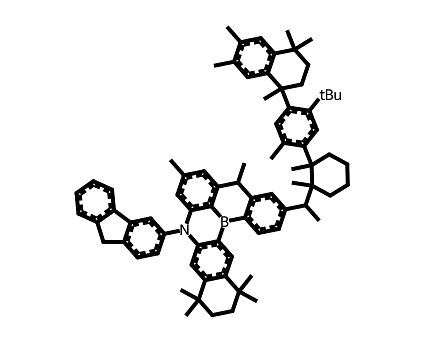 Cc1cc2c3c(c1)N(c1ccc4c(c1)-c1ccccc1C4)c1cc4c(cc1B3c1ccc(C(C)C3(C)CCCCC3(C)c3cc(C(C)(C)C)c(C5(C)CCC(C)(C)c6cc(C)c(C)cc65)cc3C)cc1C2C)C(C)(C)CCC4(C)C